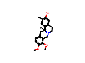 COc1ccc2c(c1OC)CN1CCc3cc(O)c(C)cc3[C@H]1C2